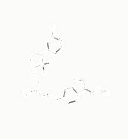 CCON=C1CCc2cc(OCCC(C)CCN3CCN(c4ccnc(Cl)c4)S3(=O)=O)ccc21